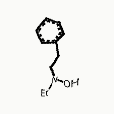 CCN(O)CCc1ccccc1